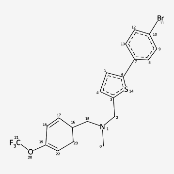 CN(Cc1ccc(-c2ccc(Br)cc2)s1)CC1C=CC(OC(F)(F)F)=CC1